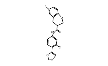 O=C(Nc1ccc(-c2cnco2)c(Cl)c1)C1COc2ccc(F)cc2C1